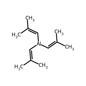 CC(C)=[CH][Al]([CH]=C(C)C)[CH]=C(C)C